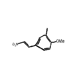 COc1ccc(C=C[N+](=O)[O-])cc1C